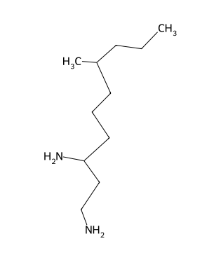 CCCC(C)CCCC(N)CCN